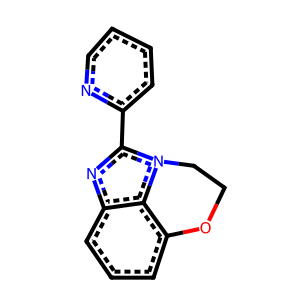 c1ccc(-c2nc3cccc4c3n2CCO4)nc1